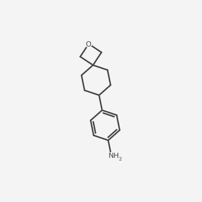 Nc1ccc(C2CCC3(CC2)COC3)cc1